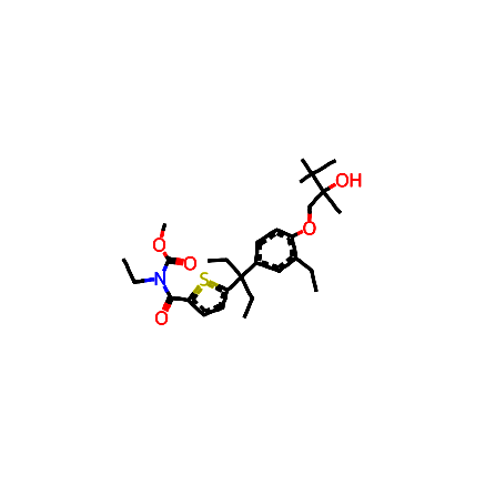 CCc1cc(C(CC)(CC)c2ccc(C(=O)N(CC)C(=O)OC)s2)ccc1OCC(C)(O)C(C)(C)C